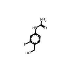 NC(=O)Nc1ccc(CO)c(F)c1